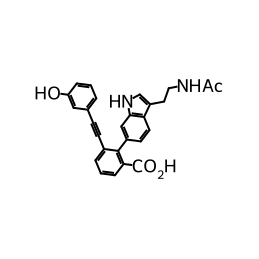 CC(=O)NCCc1c[nH]c2cc(-c3c(C#Cc4cccc(O)c4)cccc3C(=O)O)ccc12